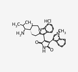 CC(C)[C@H](N)[C@H]1CCc2c(C3=C(c4cn(C)c5ccccc45)C(=O)NC3=O)c3ccccc3n2CC1.Cl